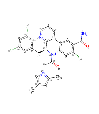 NC(=O)c1cc(-c2cccnc2[C@H](Cc2cc(F)cc(F)c2)NC(=O)Cn2cc(C(F)(F)F)cc2C(F)(F)F)ccc1F